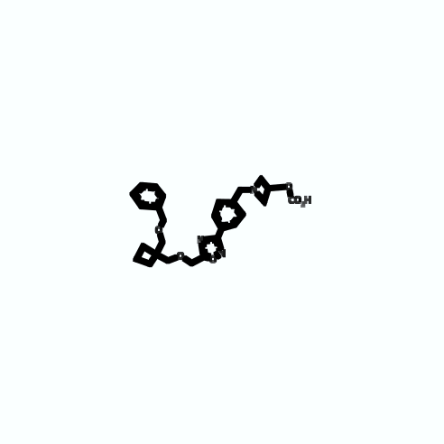 O=C(O)OC1CN(Cc2ccc(-c3noc(COCC4(COCc5ccccc5)CCC4)n3)cc2)C1